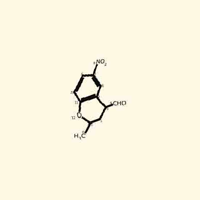 CC1CC(C=O)c2cc([N+](=O)[O-])ccc2O1